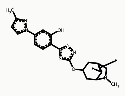 Cc1ccn(-c2ccc(-c3nnc(OC4CC5N(C)CC6(C4)C(F)C56F)s3)c(O)c2)n1